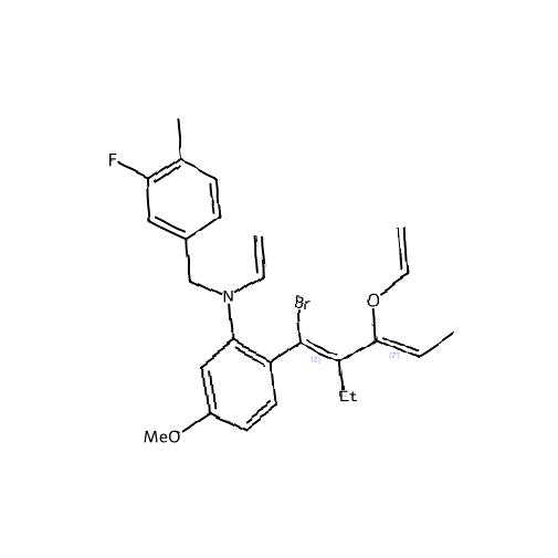 C=COC(=C\C)/C(CC)=C(\Br)c1ccc(OC)cc1N(C=C)Cc1ccc(C)c(F)c1